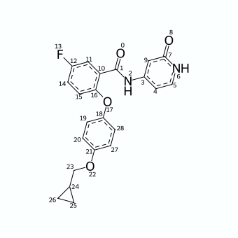 O=C(Nc1cc[nH]c(=O)c1)c1cc(F)ccc1Oc1ccc(OCC2CC2)cc1